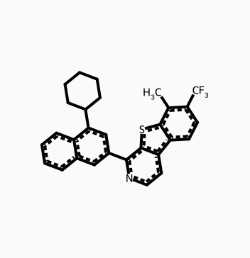 Cc1c(C(F)(F)F)ccc2c1sc1c(-c3cc(C4CCCCC4)c4ccccc4c3)nccc12